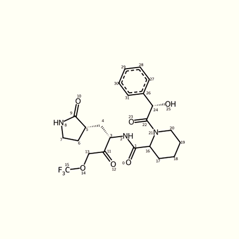 O=C(N[C@@H](C[C@@H]1CCNC1=O)C(=O)COC(F)(F)F)C1CCCCN1C(=O)[C@@H](O)c1ccccc1